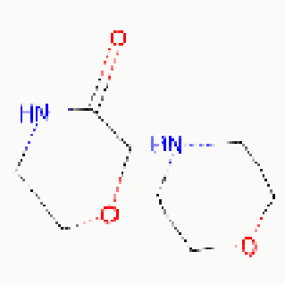 C1COCCN1.O=C1COCCN1